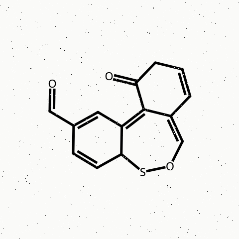 O=CC1=CC2=C3C(=O)CC=CC3=COSC2C=C1